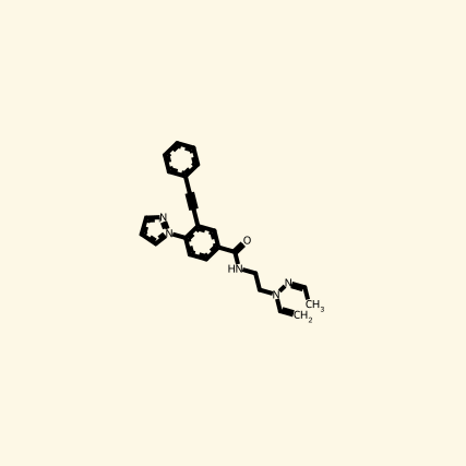 C=CN(CCNC(=O)c1ccc(-n2cccn2)c(C#Cc2ccccc2)c1)/N=C\C